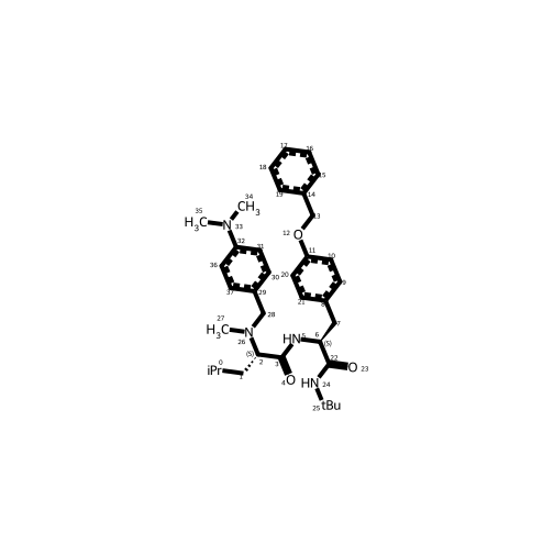 CC(C)C[C@@H](C(=O)N[C@@H](Cc1ccc(OCc2ccccc2)cc1)C(=O)NC(C)(C)C)N(C)Cc1ccc(N(C)C)cc1